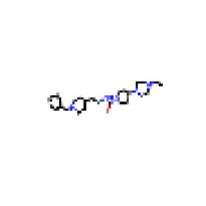 CCN1CCN(C2CCN(C(=O)NCCC3CCN(Cc4ccccc4)CC3)CC2)CC1